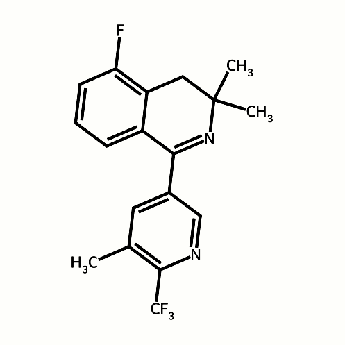 Cc1cc(C2=NC(C)(C)Cc3c(F)cccc32)cnc1C(F)(F)F